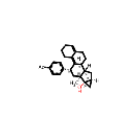 CC(=O)c1ccc([C@H]2C[C@@]3(C)[C@@H](C[C@H]4C[C@]43O)[C@@H]3CCC4=CCCCC4=C32)cc1